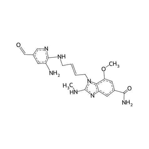 CNc1nc2cc(C(N)=O)cc(OC)c2n1C/C=C/CNc1ncc(C=O)cc1N